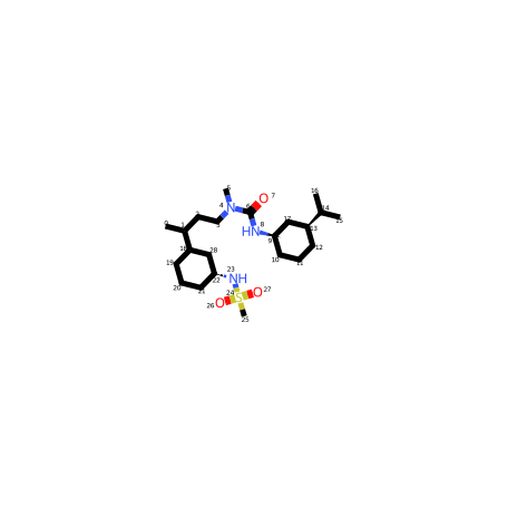 CC(CCN(C)C(=O)N[C@@H]1CCC[C@H](C(C)C)C1)C1CCC[C@@H](NS(C)(=O)=O)C1